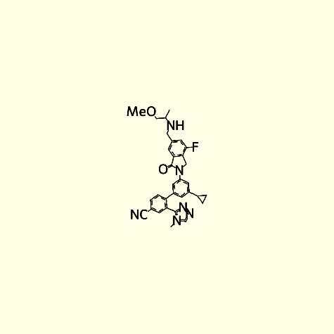 COCC(C)NCc1cc(F)c2c(c1)C(=O)N(c1cc(-c3ccc(C#N)cc3-c3nncn3C)cc(C3CC3)c1)C2